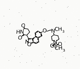 CN(CCOc1ccc2c(ccc3onc(C4CCC(=O)NC4=O)c32)c1)C1CCN(S(C)(=O)=O)CC1